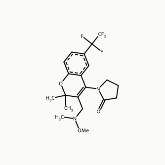 CON(C)CC1=C(N2CCCC2=O)c2cc(C(F)(F)C(F)(F)F)ccc2OC1(C)C